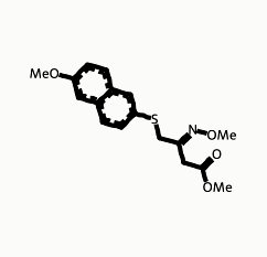 CON=C(CSc1ccc2cc(OC)ccc2c1)CC(=O)OC